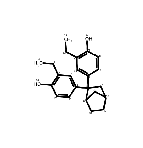 CCc1cc(C2(c3ccc(O)c(CC)c3)CC3CCC2C3)ccc1O